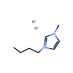 CCCC[n+]1ccn(C)c1.[H+].[H+]